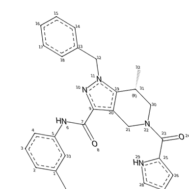 Cc1cccc(NC(=O)c2nn(Cc3ccccc3)c3c2CN(C(=O)c2ccc[nH]2)C[C@H]3C)c1